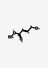 CCOC(=O)/C=C/C[O]